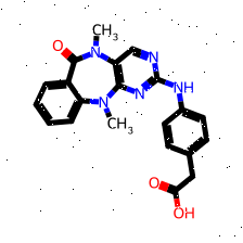 CN1C(=O)c2ccccc2N(C)c2nc(Nc3ccc(CC(=O)O)cc3)ncc21